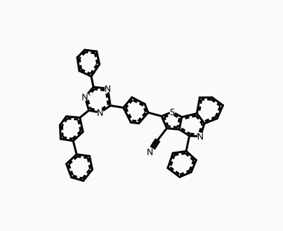 N#Cc1c(-c2ccc(-c3nc(-c4ccccc4)nc(-c4cccc(-c5ccccc5)c4)n3)cc2)sc2c1c(-c1ccccc1)nc1ccccc12